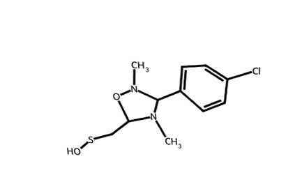 CN1OC(CSO)N(C)C1c1ccc(Cl)cc1